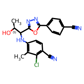 Cc1c(NC(c2nnc(-c3ccc(C#N)cc3)o2)[C@H](C)O)ccc(C#N)c1Cl